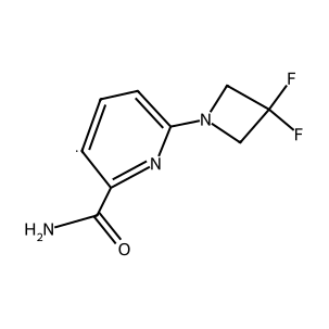 NC(=O)c1[c]ccc(N2CC(F)(F)C2)n1